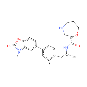 Cc1cc(-c2ccc3oc(=O)n(C)c3c2)ccc1C[C@@H](C#N)NC(=O)[C@@H]1CNCCCO1